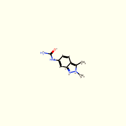 Cc1c2ccc(NC(N)=O)cc2nn1C